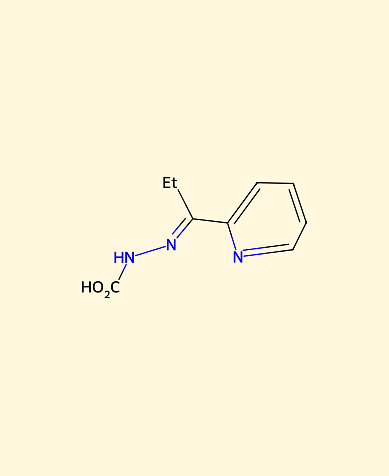 CCC(=NNC(=O)O)c1ccccn1